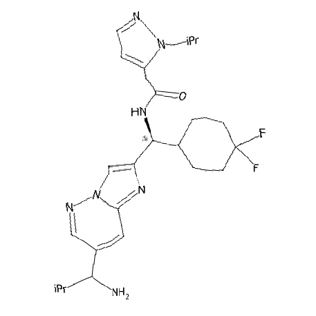 CC(C)C(N)c1cnn2cc([C@@H](NC(=O)c3ccnn3C(C)C)C3CCC(F)(F)CC3)nc2c1